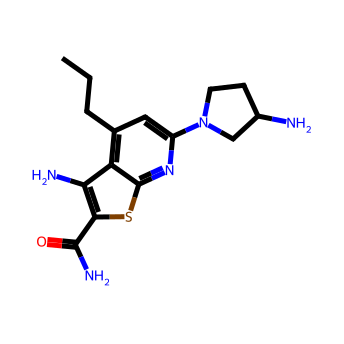 CCCc1cc(N2CCC(N)C2)nc2sc(C(N)=O)c(N)c12